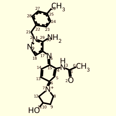 CC(=O)NC1=CC(=[N+]2CCC(O)C2)C=CC1=Nc1cnn(Cc2ccc(C)cc2)c1N